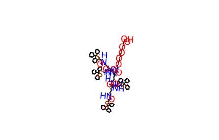 O=C(O)CCOCCOCCOCCOCCNC(=O)[C@H](CCCCNC(=O)[C@H](CCCCNC(=O)CCSC(c1ccccc1)(c1ccccc1)c1ccccc1)NC(=O)CCSC(c1ccccc1)(c1ccccc1)c1ccccc1)NC(=O)[C@H](CCCCNC(=O)CCSC(c1ccccc1)(c1ccccc1)c1ccccc1)NC(=O)CCSC(c1ccccc1)(c1ccccc1)c1ccccc1